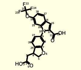 O=C(O)CC1COc2cc(-n3c(C(=O)O)cc4ccc(OC(F)(F)F)cc43)ccc21